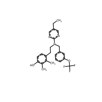 CCc1cnc(N(CCc2ccc(O)c(C)c2C)Cc2cccc(OC(F)(F)F)c2)nc1